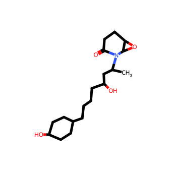 CC(CC(O)CCCCC1CCC(O)CC1)N1C(=O)CCC2OC21